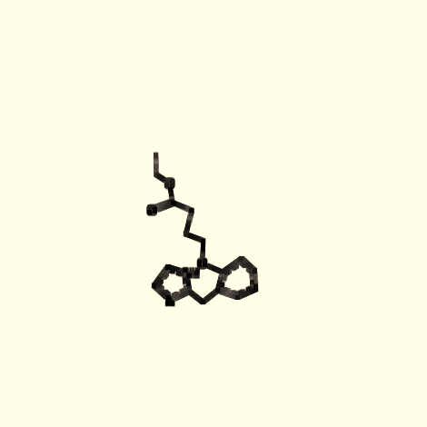 CCOC(=O)CCCOc1ccccc1Cc1ncc[nH]1